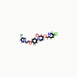 O=c1cc(OCc2ccc(Cl)cn2)ccn1-c1ccc(OCCN2CC[C@@H](F)C2)cc1